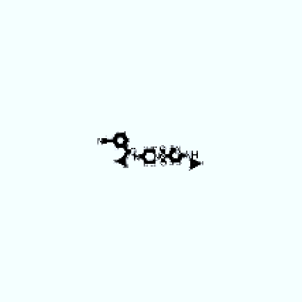 N#Cc1cccc(C(ON=C2CCN(S(=O)(=O)c3ccc(NC4CC4)nc3)CC2)C2CC2)c1